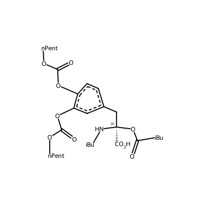 CCCCCOC(=O)Oc1ccc(C[C@](NC(C)CC)(OC(=O)C(C)CC)C(=O)O)cc1OC(=O)OCCCCC